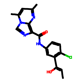 C/C=C(\O)c1cc(NC(=O)c2ncn3c(C)cc(C)nc23)ccc1Cl